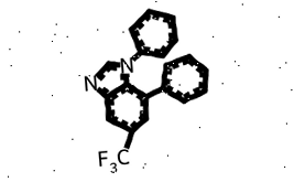 FC(F)(F)c1cc(-c2ccccc2)c2c(c1)ncn2-c1ccccc1